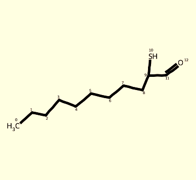 CCCCCCCCCC(S)C=O